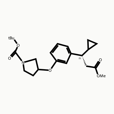 COC(=O)C[C@H](c1cccc(OC2CCN(C(=O)OC(C)(C)C)C2)c1)C1CC1